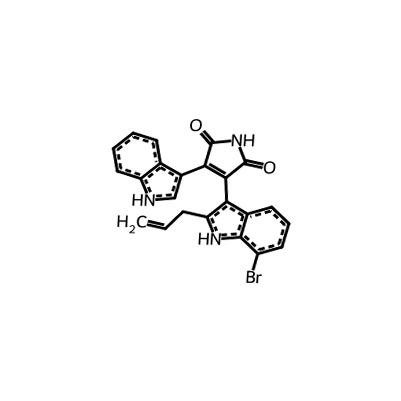 C=CCc1[nH]c2c(Br)cccc2c1C1=C(c2c[nH]c3ccccc23)C(=O)NC1=O